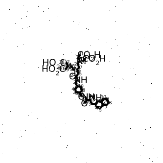 N[C@H](Cc1ccc2ccccc2c1)C(=O)NOc1ccc(CNC(=O)CN(CCN(CC(=O)O)CC(=O)O)CCN(CC(=O)O)CC(=O)O)cc1